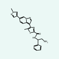 Cc1sc(C(=O)NC(CN)c2ccccc2)nc1-c1cnn2cc(-c3cnn(C)c3)ccc12